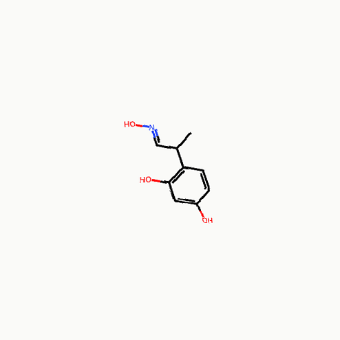 CC(C=NO)c1ccc(O)cc1O